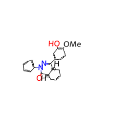 COc1ccc(C2=NN(c3ccccc3)C(=O)[C@H]3CC=CC[C@@H]23)cc1O